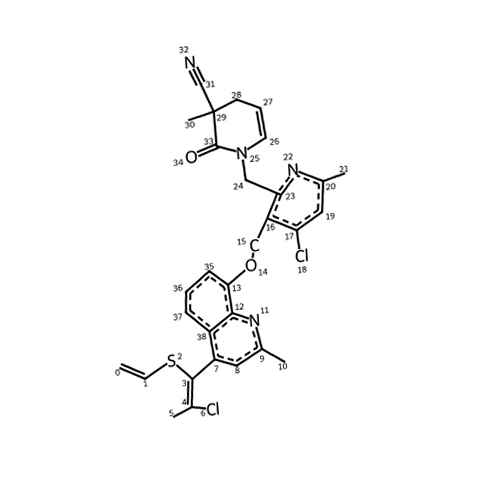 C=CS/C(=C(\C)Cl)c1cc(C)nc2c(OCc3c(Cl)cc(C)nc3CN3C=CCC(C)(C#N)C3=O)cccc12